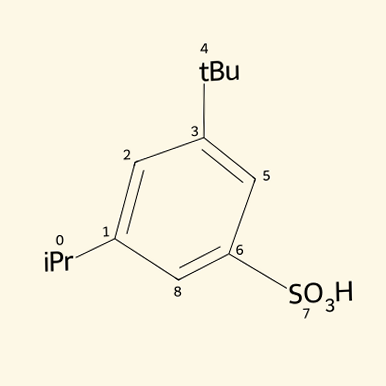 CC(C)c1cc(C(C)(C)C)cc(S(=O)(=O)O)c1